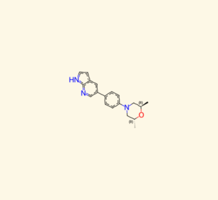 C[C@@H]1CN(c2ccc(-c3cnc4[nH]ccc4c3)cc2)C[C@@H](C)O1